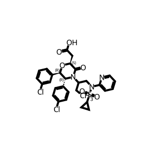 CCC(CN(c1ccccn1)S(=O)(=O)C1CC1)N1C(=O)[C@H](CC(=O)O)O[C@H](c2cccc(Cl)c2)[C@H]1c1ccc(Cl)cc1